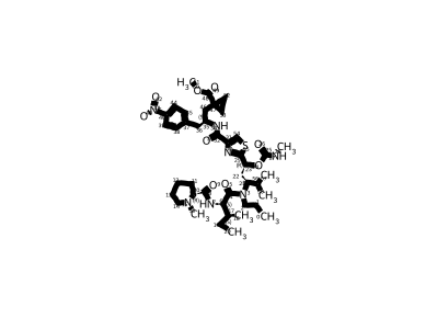 CCCN(C(=O)[C@@H](NC(=O)[C@H]1CCCCN1C)[C@@H](C)CC)[C@H](C[C@@H](OC(=O)NC)c1nc(C(=O)N[C@@H](Cc2ccc([N+](=O)[O-])cc2)CC2(C(=O)OC)CC2)cs1)C(C)C